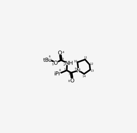 CC(C)C(NC(=O)OC(C)(C)C)C(=O)N1CCCCC1